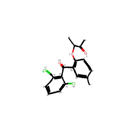 CC(=O)C(C)Oc1ccc(C)cc1C(=O)c1c(Cl)cccc1Cl